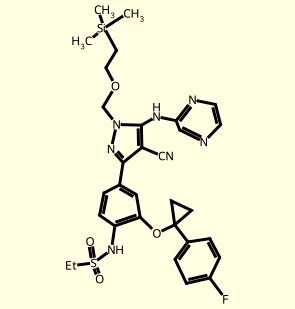 CCS(=O)(=O)Nc1ccc(-c2nn(COCC[Si](C)(C)C)c(Nc3cnccn3)c2C#N)cc1OC1(c2ccc(F)cc2)CC1